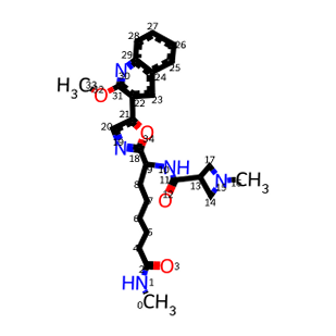 CNC(=O)CCCCCC(NC(=O)C1CN(C)C1)c1ncc(-c2cc3ccccc3nc2OC)o1